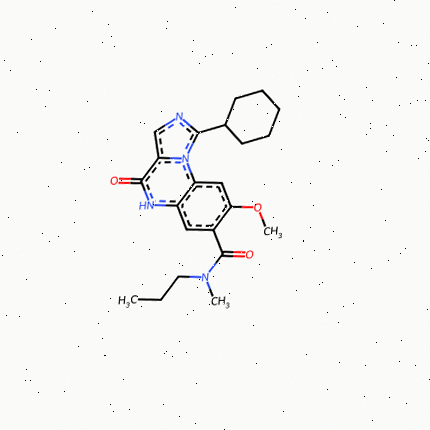 CCCN(C)C(=O)c1cc2[nH]c(=O)c3cnc(C4CCCCC4)n3c2cc1OC